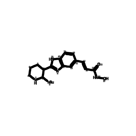 CCCCC1NCCCC1c1nc2cc(C=CC(=O)NO)ccc2[nH]1